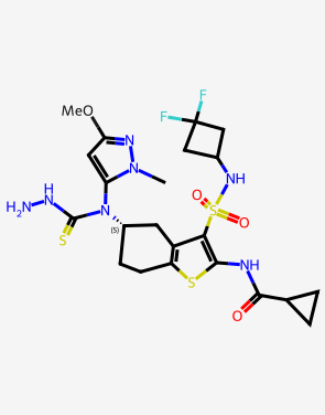 COc1cc(N(C(=S)NN)[C@H]2CCc3sc(NC(=O)C4CC4)c(S(=O)(=O)NC4CC(F)(F)C4)c3C2)n(C)n1